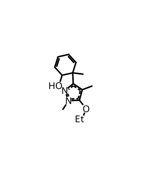 CCOc1c(C)c(C2(C)C=CC=CC2O)nn1C